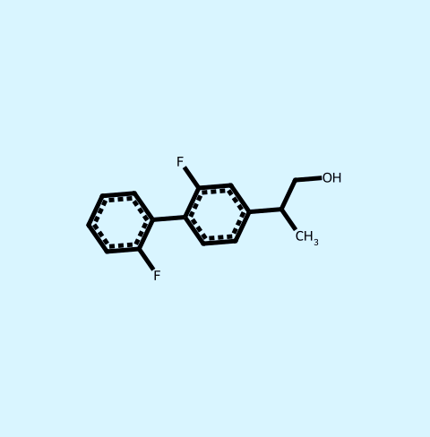 CC(CO)c1ccc(-c2ccccc2F)c(F)c1